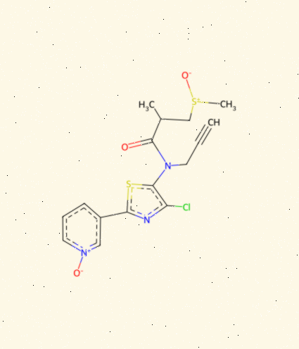 C#CCN(C(=O)C(C)C[S+](C)[O-])c1sc(-c2ccc[n+]([O-])c2)nc1Cl